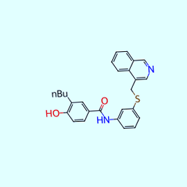 CCCCc1cc(C(=O)Nc2cccc(SCc3cncc4ccccc34)c2)ccc1O